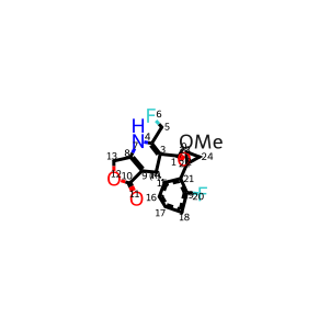 COC(=O)C1=C(CF)NC2=C(C(=O)OC2)[C@H]1c1cccc(F)c1C1CC1